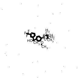 CCOc1cc(C(C)(O)c2cccc(C(F)(F)F)c2)ccc1B1OC(C)(C)C(C)(C)O1